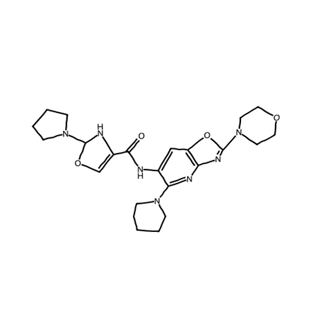 O=C(Nc1cc2oc(N3CCOCC3)nc2nc1N1CCCCC1)C1=COC(N2CCCC2)N1